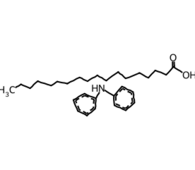 CCCCCCCCCCCCCCCCCC(=O)O.c1ccc(Nc2ccccc2)cc1